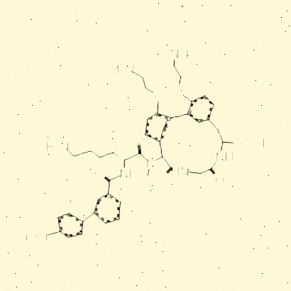 CCCCc1ccc(-c2cccc(C(=O)N[C@@H](CCCCN)C(=O)N(C)C3C(=O)N[C@@H](C)C(=O)NC(C(=O)O)Cc4ccc(OCCN)c(c4)-c4cc3ccc4OCCN)c2)cc1